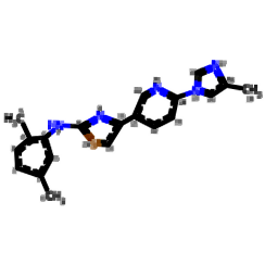 Cc1ccc(C)c(Nc2nc(-c3ccc(-n4cnc(C)c4)nc3)cs2)c1